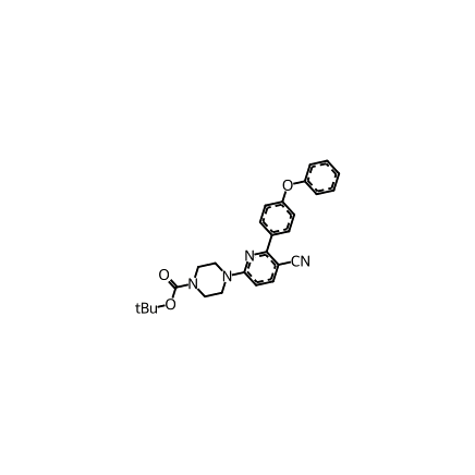 CC(C)(C)OC(=O)N1CCN(c2ccc(C#N)c(-c3ccc(Oc4ccccc4)cc3)n2)CC1